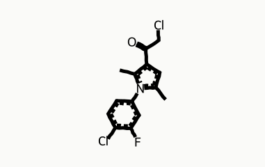 Cc1cc(C(=O)CCl)c(C)n1-c1ccc(Cl)c(F)c1